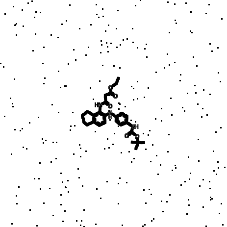 CCOC(=O)CC(=O)Nc1c(Nc2ccc(NC(=O)OC(C)(C)C)cc2)ccc2c1CCCC2